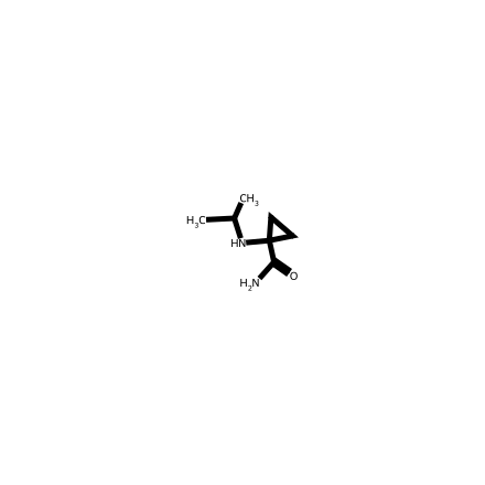 CC(C)NC1(C(N)=O)CC1